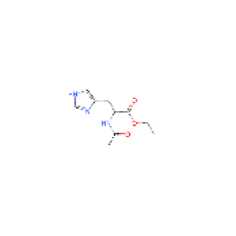 CCCOC(=O)C(Cc1c[nH]cn1)NC(C)=O